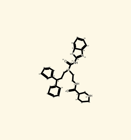 O=C(NCCN(CCC(c1ccccc1)c1ccccc1)C(=O)Nc1nc2ccccc2s1)C1CCCNC1